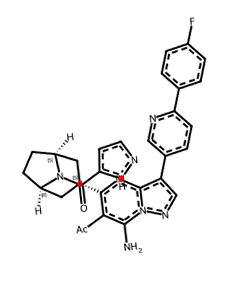 CC(=O)c1c([C@@H]2C[C@H]3CC[C@@H](C2)N3C(=O)c2ccn[nH]2)nc2c(-c3ccc(-c4ccc(F)cc4)nc3)cnn2c1N